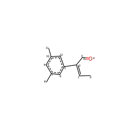 CC=C(C=O)c1cc(C)cc(C)c1